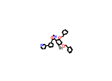 CC(C)c1cc(-c2ncoc2-c2cccc(-c3cccnc3)c2)c(OCc2ccccc2)cc1OCc1ccccc1